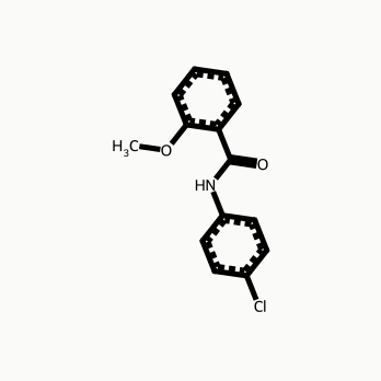 COc1ccccc1C(=O)Nc1ccc(Cl)cc1